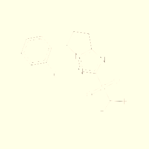 O=S(=O)(c1nc2n(n1)[C@H](c1ccccc1Cl)CC2)C(F)F